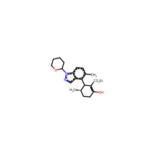 CCOC(=O)C1=C(O)CC[C@@H](C)C1c1c(C)ccc2c1cnn2C1CCCCO1